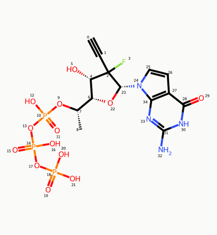 C#CC1(F)[C@@H](O)[C@@H]([C@H](C)OP(=O)(O)OP(=O)(O)OP(=O)(O)O)O[C@H]1n1ccc2c(=O)[nH]c(N)nc21